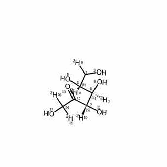 [2H]C(O)[C@@]([2H])(O)[C@@]([2H])(O)[C@]([2H])(O)C(=O)C([2H])([2H])O